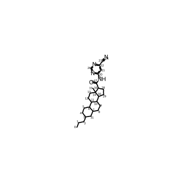 CCCC1CCC2C(CCC3C2CCC2(C)C(C(=O)Nc4cc(C#N)ncn4)CCC32)C1